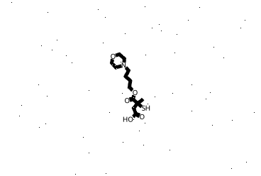 CC(S)(CC(=O)O)C(=O)OCCCCN1CCOCC1